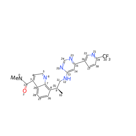 CNC(=O)c1ccnc2c([C@H](C)CNc3cc(-c4ccc(C(F)(F)F)nc4)ncn3)cccc12